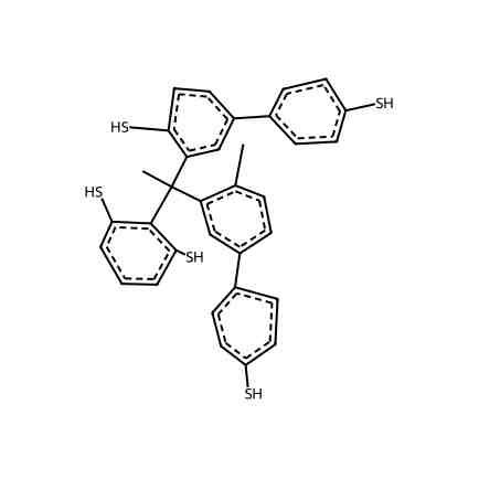 Cc1ccc(-c2ccc(S)cc2)cc1C(C)(c1cc(-c2ccc(S)cc2)ccc1S)c1c(S)cccc1S